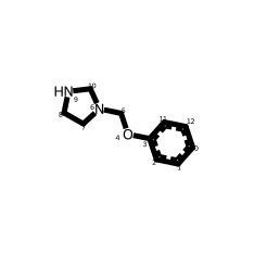 c1ccc(OCN2CCNC2)cc1